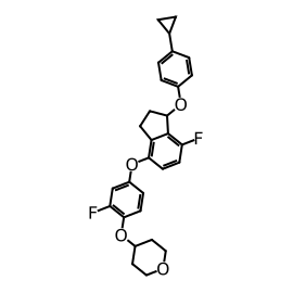 Fc1cc(Oc2ccc(F)c3c2CCC3Oc2ccc(C3CC3)cc2)ccc1OC1CCOCC1